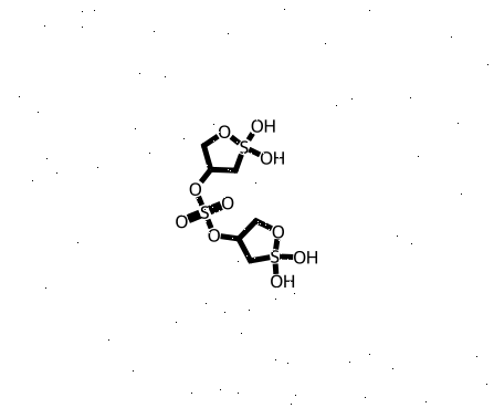 O=S(=O)(OC1COS(O)(O)C1)OC1COS(O)(O)C1